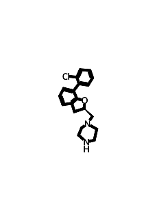 Clc1ccccc1-c1cccc2c1O[C@@H](CN1CCNCC1)C2